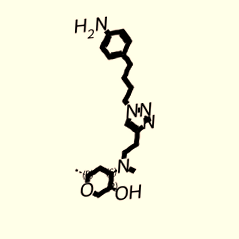 C[C@@H]1C[C@H](N(C)CCc2cn(CCCCc3ccc(N)cc3)nn2)[C@@H](O)CO1